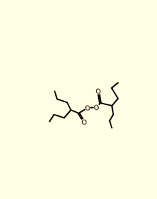 CCCC(CCC)C(=O)OOC(=O)C(CCC)CCC